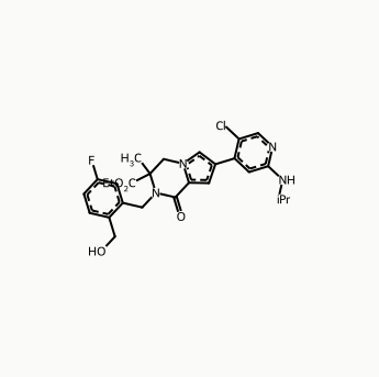 CCOC(=O)C1(C)Cn2cc(-c3cc(NC(C)C)ncc3Cl)cc2C(=O)N1Cc1cc(F)ccc1CO